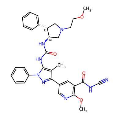 COCCN1C[C@@H](NC(=O)Nc2c(C)c(-c3cnc(OC)c(C(=O)NC#N)c3)nn2-c2ccccc2)[C@H](c2ccccc2)C1